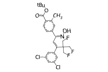 Cc1cc(C(C=C(c2cc(Cl)cc(Cl)c2)C(CF)(CF)CF)=NO)ccc1C(=O)OC(C)(C)C